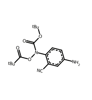 CC(C)(C)OC(=O)N(OC(=O)C(C)(C)C)c1ccc(N)cc1C#N